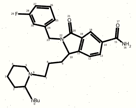 CCCCC1CCCCN1CCCC1c2ccc(C(N)=O)cc2C(=O)N1Cc1cccc(F)c1